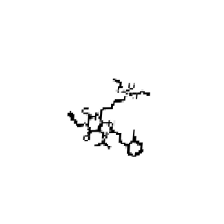 C#CCn1c(=O)c2c(nc(CCc3ccccc3I)n2C(C)C)n(CCCCP(=O)(OCC)OCC)c1=O